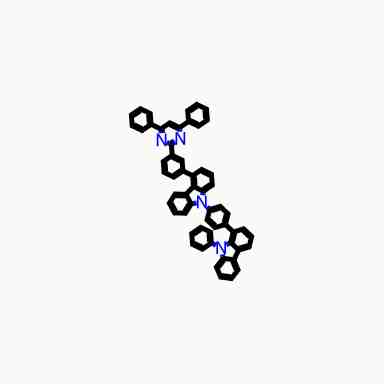 c1ccc(-c2cc(-c3ccccc3)nc(-c3cccc(-c4cccc5c4c4ccccc4n5-c4ccc(-c5cccc6c7ccccc7n(-c7ccccc7)c56)cc4)c3)n2)cc1